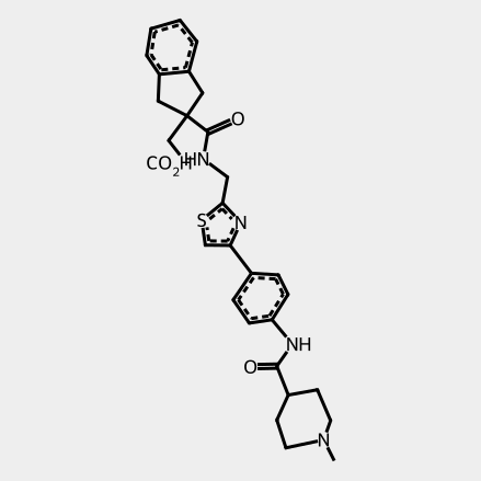 CN1CCC(C(=O)Nc2ccc(-c3csc(CNC(=O)C4(CC(=O)O)Cc5ccccc5C4)n3)cc2)CC1